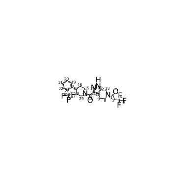 O=C(CC(F)(F)F)N1CCc2c(C(=O)N3CCC(c4ccccc4C(F)(F)F)CC3)n[nH]c2C1